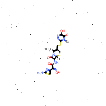 CCn1c(SCC2=C(C(=O)O)N3C(=O)C(NC(=O)C(=NO)c4csc(N)n4)[C@@H]3SC2)nnc(O)c1=O